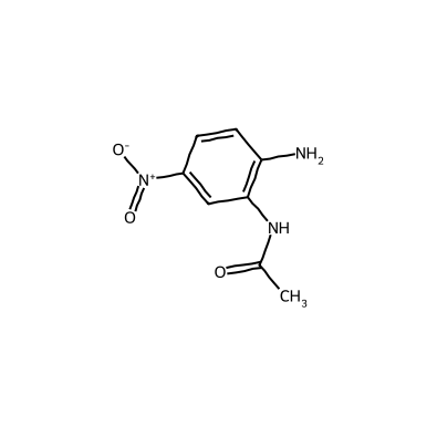 CC(=O)Nc1cc([N+](=O)[O-])ccc1N